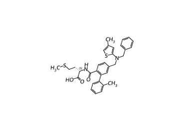 CSCC[C@H](NC(=O)c1ccc(CN(Cc2ccccc2)c2cc(C)cs2)cc1-c1ccccc1C)C(=O)O